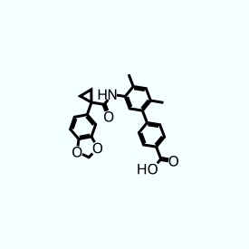 Cc1cc(C)c(-c2ccc(C(=O)O)cc2)cc1NC(=O)C1(c2ccc3c(c2)OCO3)CC1